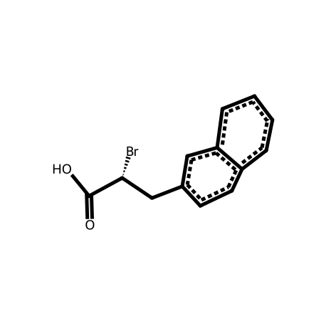 O=C(O)[C@H](Br)Cc1ccc2ccccc2c1